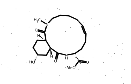 COC(=O)[C@H]1CCC=CCCCCN(C)C(=O)[C@@H]2CC[C@@H](O)C[C@H]2C(=O)N1